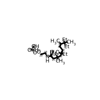 CCC(C)(CCC(C)C(C)(CC)CC)CC(C)(CC)CC(=O)NCCOO[PH](=O)O